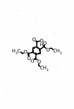 CCOC(=O)c1cc(C(=O)OCC)c(C(=O)OCC)cc1C(=O)O